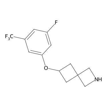 Fc1cc(OC2CC3(CNC3)C2)cc(C(F)(F)F)c1